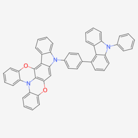 c1ccc(-n2c3ccccc3c3c(-c4ccc(-n5c6ccccc6c6c7c8c(cc65)Oc5ccccc5N8c5ccccc5O7)cc4)cccc32)cc1